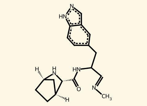 C/N=C/C(Cc1ccc2[nH]ncc2c1)NC(=O)[C@H]1N[C@@H]2CC[C@H]1C2